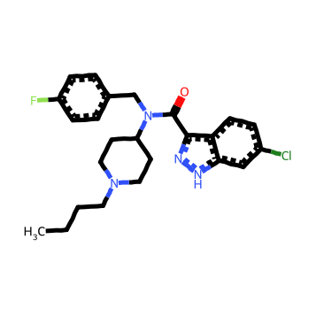 CCCCN1CCC(N(Cc2ccc(F)cc2)C(=O)c2n[nH]c3cc(Cl)ccc23)CC1